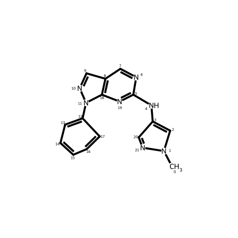 Cn1cc(Nc2ncc3cnn(-c4ccccc4)c3n2)cn1